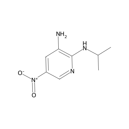 CC(C)Nc1ncc([N+](=O)[O-])cc1N